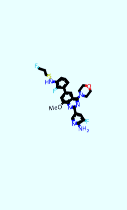 COc1cc(-c2cccc(NSCCCF)c2F)cc2c(N3CCOCC3)nc(-c3cnc(N)c(F)c3)nc12